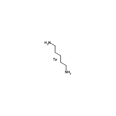 NCCCCCN.[Ta]